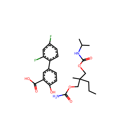 CCCC(C)(COC(N)=O)COC(=O)NC(C)C.O=C(O)c1cc(-c2ccc(F)cc2F)ccc1O